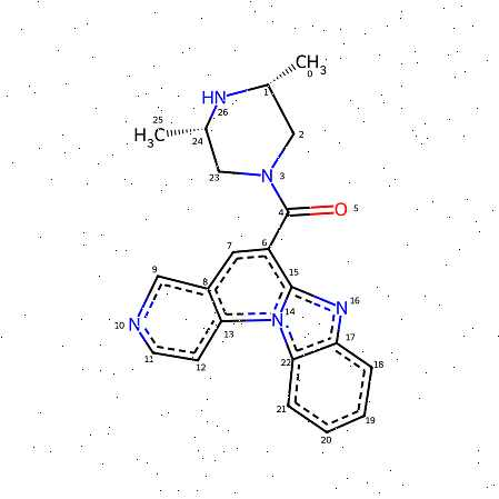 C[C@@H]1CN(C(=O)c2cc3cnccc3n3c2nc2ccccc23)C[C@H](C)N1